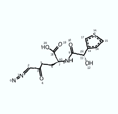 [N-]=[N+]=CC(=O)CC[C@H](NC(=O)[C@@H](O)c1ccsc1)C(=O)O